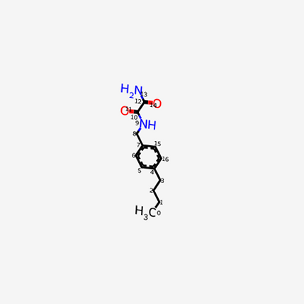 CCCCc1ccc(CNC(=O)C(N)=O)cc1